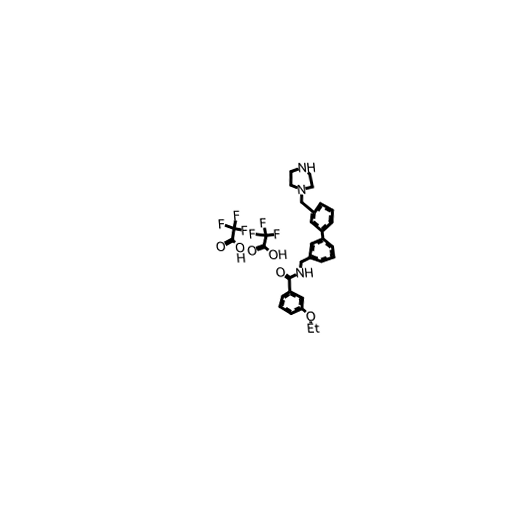 CCOc1cccc(C(=O)NCc2cccc(-c3cccc(CN4CCNCC4)c3)c2)c1.O=C(O)C(F)(F)F.O=C(O)C(F)(F)F